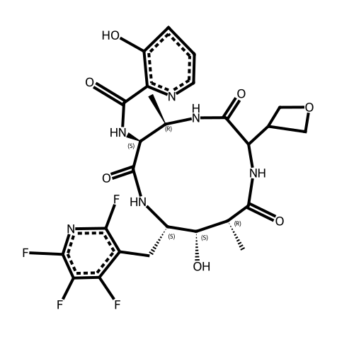 C[C@H]1NC(=O)C(C2COC2)NC(=O)[C@H](C)[C@H](O)[C@H](Cc2c(F)nc(F)c(F)c2F)NC(=O)[C@H]1NC(=O)c1ncccc1O